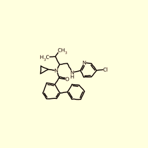 CC(C)C(CNc1ccc(Cl)cn1)N(C(=O)c1ccccc1-c1ccccc1)C1CC1